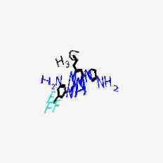 CCCc1cc(N2CCC(N)C2)nc(Nc2cc(N)cc(C(F)(F)F)c2)n1